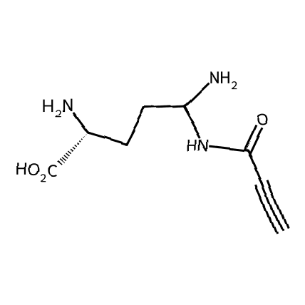 C#CC(=O)NC(N)CC[C@@H](N)C(=O)O